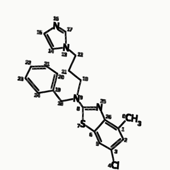 Cc1cc(Cl)cc2sc(N(CCCn3ccnc3)Cc3ccccc3)nc12